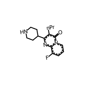 CCCc1c(C2CCNCC2)nc2c(F)cccn2c1=O